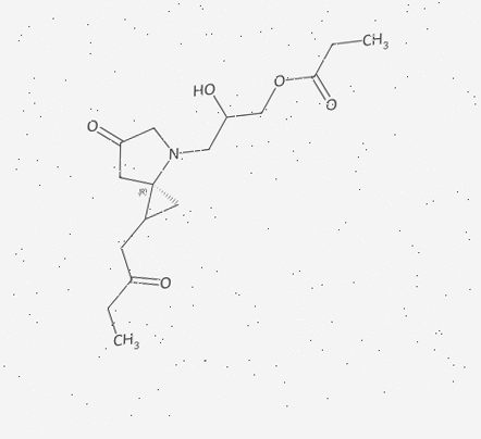 CCC(=O)CC1C[C@@]12CC(=O)CN2CC(O)COC(=O)CC